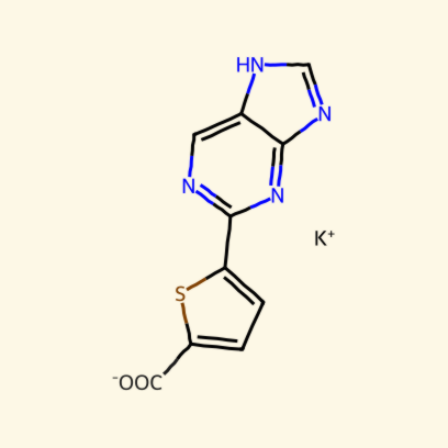 O=C([O-])c1ccc(-c2ncc3[nH]cnc3n2)s1.[K+]